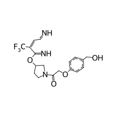 N=C/C=C(\C(=N)OC1CCN(C(=O)COc2ccc(CO)cc2)C1)C(F)(F)F